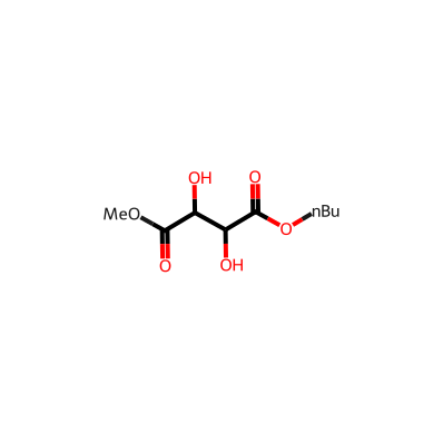 CCCCOC(=O)C(O)C(O)C(=O)OC